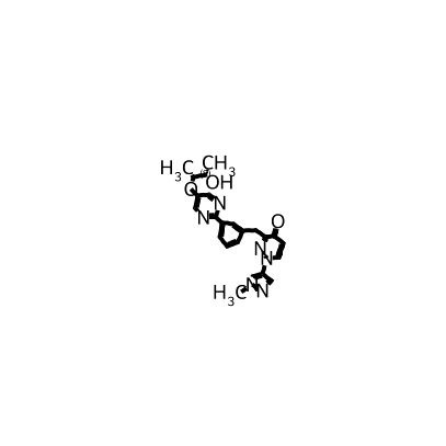 CC(Oc1cnc(-c2cccc(Cc3nn(-c4cnn(C)c4)ccc3=O)c2)nc1)[C@H](C)O